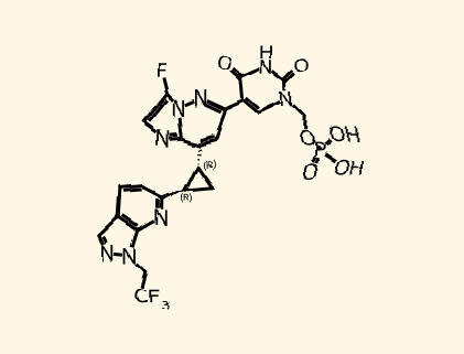 O=c1[nH]c(=O)n(COP(=O)(O)O)cc1-c1cc([C@@H]2C[C@H]2c2ccc3cnn(CC(F)(F)F)c3n2)c2ncc(F)n2n1